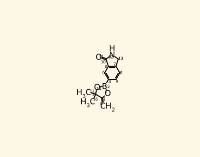 C=C1OB(c2ccc3c(c2)C(=O)NC3)OC1(C)C